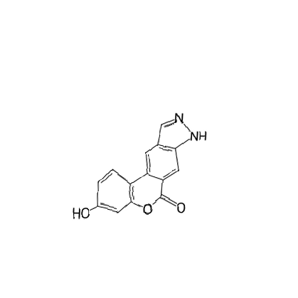 O=c1oc2cc(O)ccc2c2cc3cn[nH]c3cc12